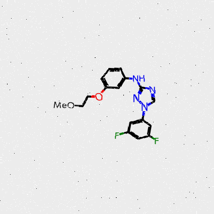 COCCOc1cccc(Nc2ncn(-c3cc(F)cc(F)c3)n2)c1